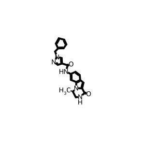 C[C@@H]1CNC(=O)c2cc3ccc(NC(=O)c4cnn(Cc5ccccc5)c4)cc3n21